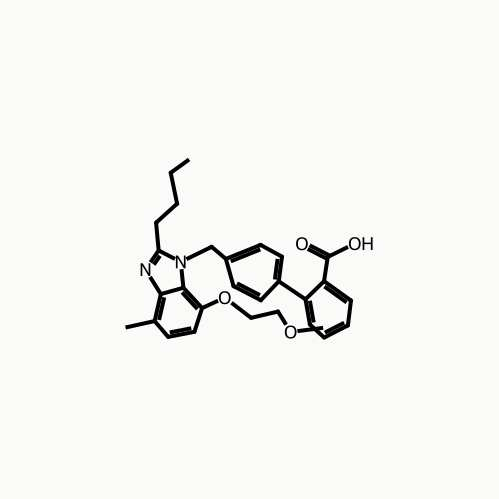 CCCCc1nc2c(C)ccc(OCCOC)c2n1Cc1ccc(-c2ccccc2C(=O)O)cc1